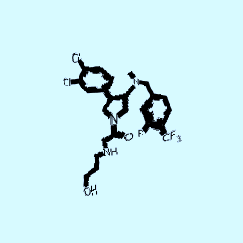 CN(Cc1ccc(C(F)(F)F)c(F)c1)C1CN(C(=O)CNCCCO)CC1c1ccc(Cl)c(Cl)c1